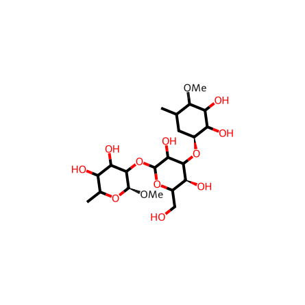 COC1C(C)C[C@H](OC2C(O)C(OC3C(O)C(O)C(C)O[C@@H]3OC)OC(CO)[C@@H]2O)C(O)C1O